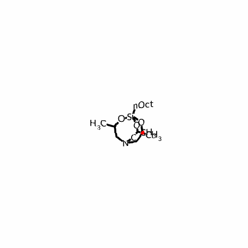 CCCCCCCC[Si]12OC(C)CN(CC(C)O1)CC(C)O2